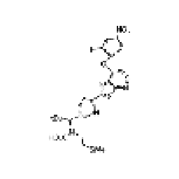 CSCCN(C(=O)O)C(c1ccc(-c2cc3nccc(Oc4ccc([N+](=O)[O-])cc4F)c3s2)nc1)C(C)(C)C